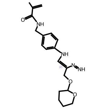 C=C(C)C(=O)NCc1ccc(N/C=C(/COC2CCCCO2)N=N)cc1